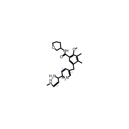 CN/C=C\C(N)C(C)/C=C\C(=C/N)Cc1cc(C(=O)NC2CCCOC2)c(OC)c(C)c1C